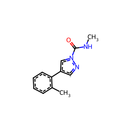 CNC(=O)n1cc(-c2ccccc2C)[c]n1